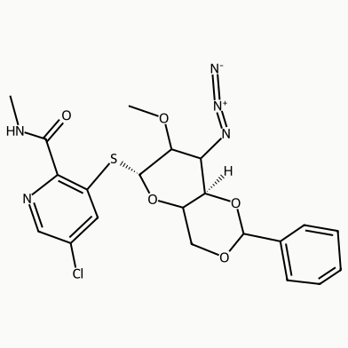 CNC(=O)c1ncc(Cl)cc1S[C@H]1OC2COC(c3ccccc3)O[C@@H]2C(N=[N+]=[N-])C1OC